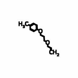 C=CCOCCCOc1ccc(C)cc1